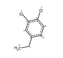 CCc1cc(Cl)c(Cl)cn1